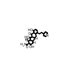 NC(=O)C1=C(O)C[C@@H]2C[C@@H]3Cc4c(CCc5ccncc5)ccc(O)c4C(=O)C3=C(O)[C@]2(O)C1=O